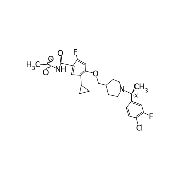 C[C@@H](c1ccc(Cl)c(F)c1)N1CCC(COc2cc(F)c(C(=O)NS(C)(=O)=O)cc2C2CC2)CC1